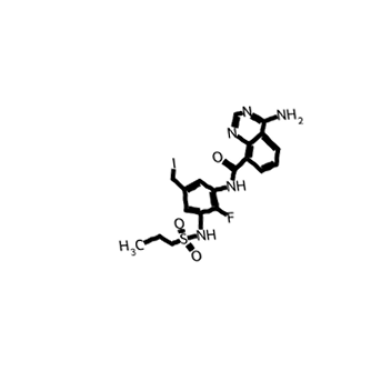 CCCS(=O)(=O)Nc1cc(CI)cc(NC(=O)c2cccc3c(N)ncnc23)c1F